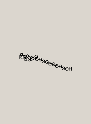 O=C(OCCOCCOCCOCCOCCOCCOCCOCCOCCO)OC[C@@H]1CN(c2ccc3cc(-c4ccccc4C(F)(F)F)[nH]c(=O)c3c2)C(=O)O1